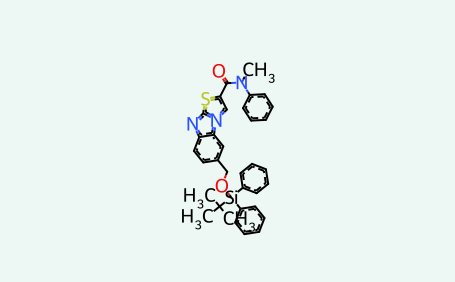 CN(C(=O)c1cn2c(nc3ccc(CO[Si](c4ccccc4)(c4ccccc4)C(C)(C)C)cc32)s1)c1ccccc1